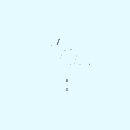 COC1(CN=[N+]=[N-])CCN(C(=O)OC(C)(C)C)CC1